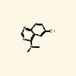 CN(C)c1ncnc2ccc(O)cc12